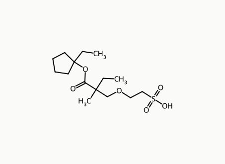 CCC1(OC(=O)C(C)(CC)COCCS(=O)(=O)O)CCCC1